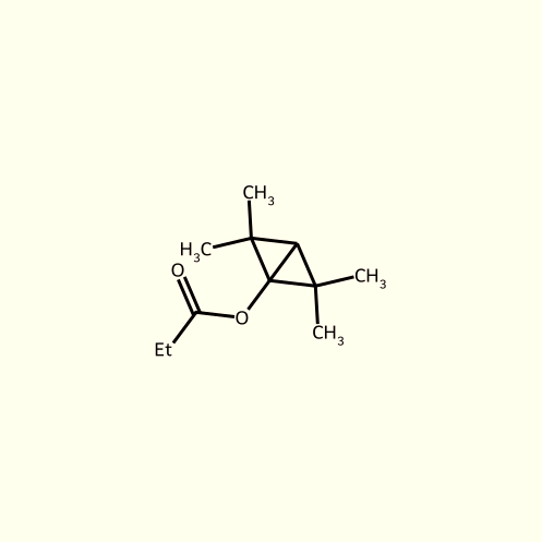 CCC(=O)OC12C(C1(C)C)C2(C)C